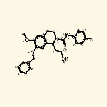 COc1cc2c(cc1OCc1ccccc1)C(CCO)N(C(=S)Nc1ccc(C)cc1)CC2